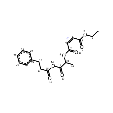 CCOC(=O)/C=C\C(=O)OC(C)C(=O)OC(=O)CCc1ccccc1